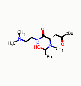 CN(C)CCNC(=O)[C@H](CC(=O)C(C)(C)C)N(C)C(O)C(C)(C)C